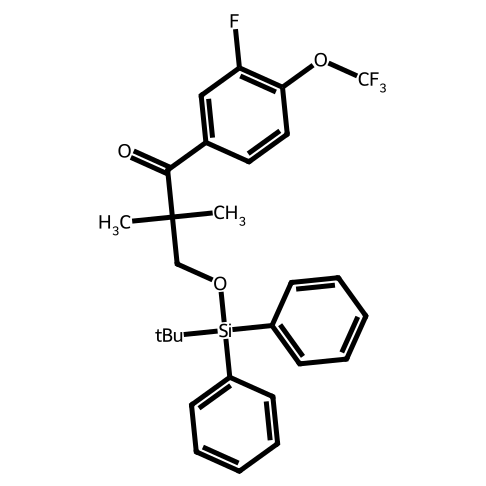 CC(C)(CO[Si](c1ccccc1)(c1ccccc1)C(C)(C)C)C(=O)c1ccc(OC(F)(F)F)c(F)c1